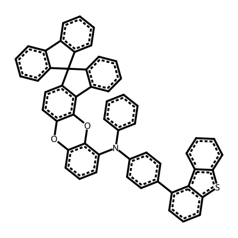 c1ccc(N(c2ccc(-c3cccc4sc5ccccc5c34)cc2)c2cccc3c2Oc2c(ccc4c2-c2ccccc2C42c4ccccc4-c4ccccc42)O3)cc1